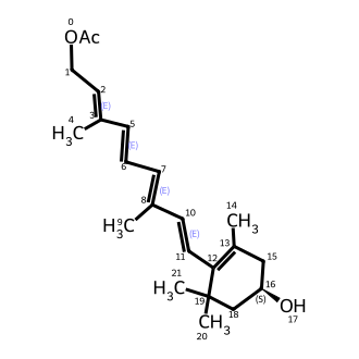 CC(=O)OC/C=C(C)/C=C/C=C(C)/C=C/C1=C(C)C[C@@H](O)CC1(C)C